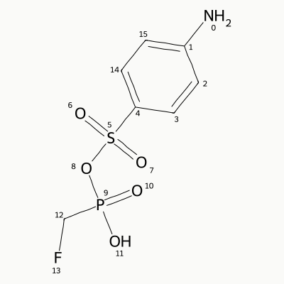 Nc1ccc(S(=O)(=O)OP(=O)(O)CF)cc1